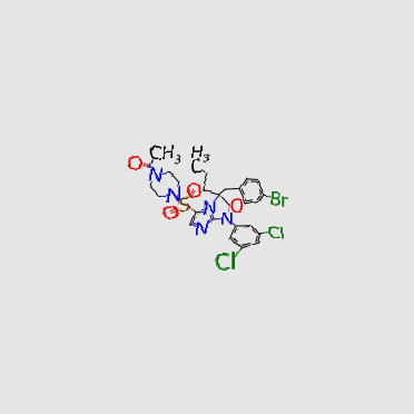 CCCC1(Cc2ccc(Br)cc2)C(=O)N(c2cc(Cl)cc(Cl)c2)c2ncc(S(=O)(=O)N3CCN(C(C)=O)CC3)n21